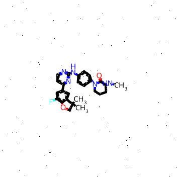 CNC1CCCN(c2ccc(Nc3nccc(-c4cc(F)c5c(c4)C(C)(C)CO5)n3)cc2)C1=O